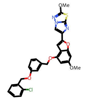 COc1cc(OCc2cccc(OCc3ccccc3Cl)c2)c2cc(-c3cn4nc(OC)sc4n3)oc2c1